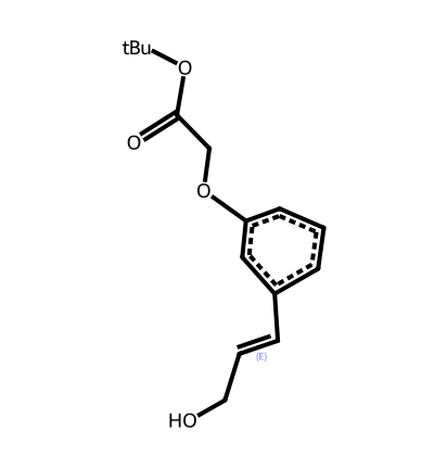 CC(C)(C)OC(=O)COc1cccc(/C=C/CO)c1